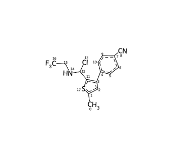 Cc1cc(-c2ccc(C#N)cc2)c(C(Cl)NCC(F)(F)F)s1